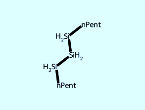 CCCCC[SiH2][SiH2][SiH2]CCCCC